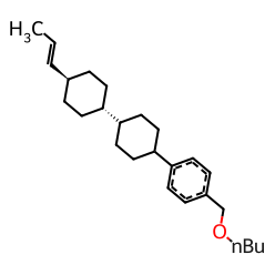 C/C=C/[C@H]1CC[C@H](C2CCC(c3ccc(COCCCC)cc3)CC2)CC1